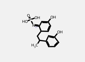 CC(CC1C=CC(O)=C/C1=N\P(=O)(O)O)c1cccc(O)c1